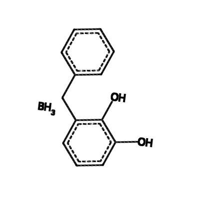 B.Oc1cccc(Cc2ccccc2)c1O